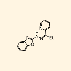 CCC(=NNc1nc2ccccc2o1)c1ccccn1